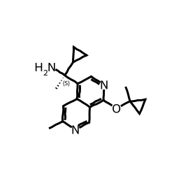 Cc1cc2c([C@@](C)(N)C3CC3)cnc(OC3(C)CC3)c2cn1